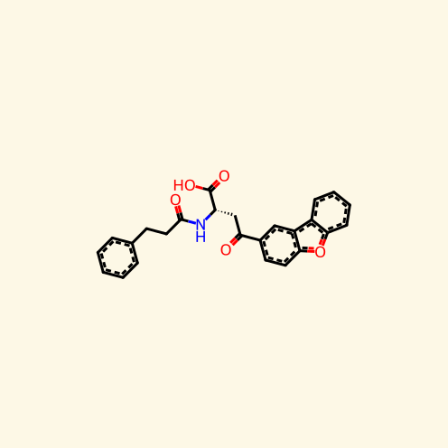 O=C(CCc1ccccc1)N[C@@H](CC(=O)c1ccc2oc3ccccc3c2c1)C(=O)O